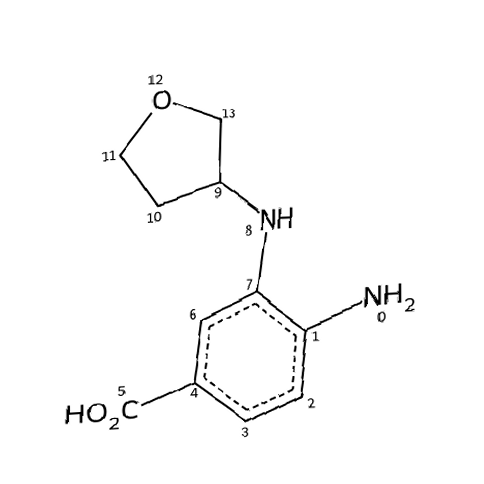 Nc1ccc(C(=O)O)cc1NC1CCOC1